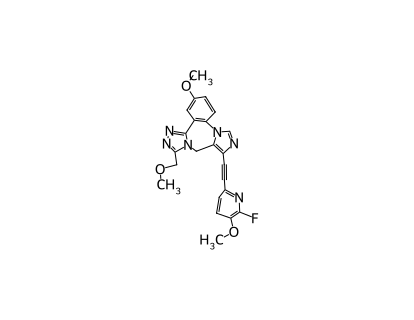 COCc1nnc2n1Cc1c(C#Cc3ccc(OC)c(F)n3)ncn1-c1ccc(OC)cc1-2